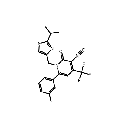 [C-]#[N+]c1c(C(F)(F)F)cc(-c2cccc(C)c2)n(Cc2csc(C(C)C)n2)c1=O